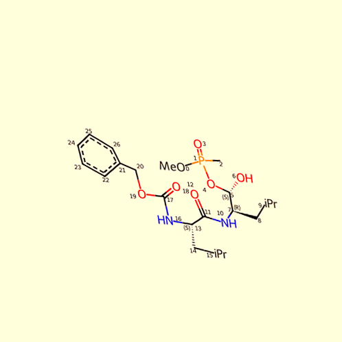 COP(C)(=O)O[C@H](O)[C@@H](CC(C)C)NC(=O)[C@H](CC(C)C)NC(=O)OCc1ccccc1